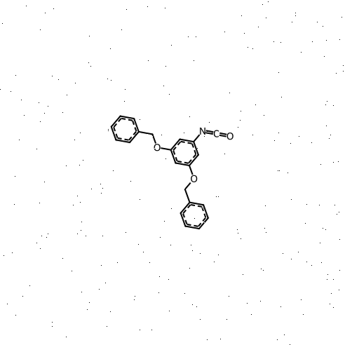 O=C=Nc1cc(OCc2ccccc2)cc(OCc2ccccc2)c1